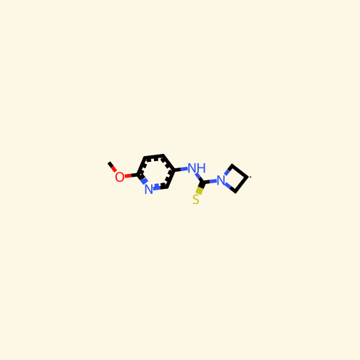 COc1ccc(NC(=S)N2C[CH]C2)cn1